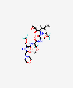 COC(F)(F)[C@@H](NC(=O)[C@H](COC(F)F)NC(=O)CN1CCOCC1)C(=O)N[C@@H](COC(F)F)C(=O)N[C@@H](CC(C)C)C(=O)[C@@]1(C)CO1